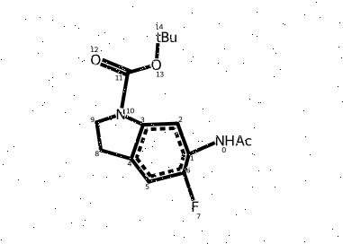 CC(=O)Nc1cc2c(cc1F)CCN2C(=O)OC(C)(C)C